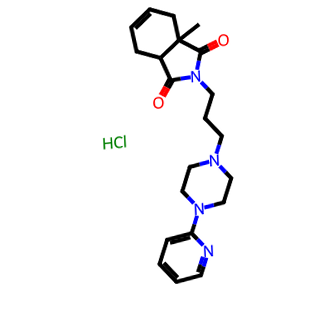 CC12CC=CCC1C(=O)N(CCCN1CCN(c3ccccn3)CC1)C2=O.Cl